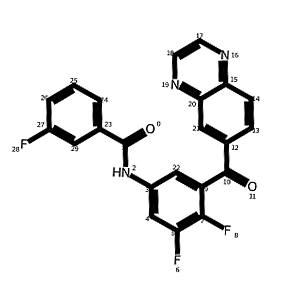 O=C(Nc1cc(F)c(F)c(C(=O)c2ccc3nccnc3c2)c1)c1cccc(F)c1